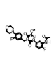 COc1nn(-c2ccc(F)c(NC(C)=O)c2)c(=O)n(Cc2ccc(N3CCOCC3)c(F)c2)c1=O